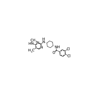 CNc1nc(N[C@H]2CC[C@@H](NC(=O)c3ccc(Cl)c(Cl)c3)CC2)ncc1C